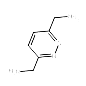 NCc1ccc(CN)nn1